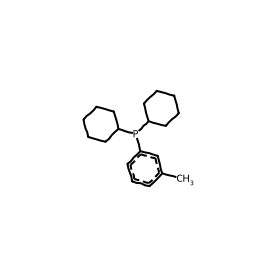 Cc1cccc(P(C2CCCCC2)C2CCCCC2)c1